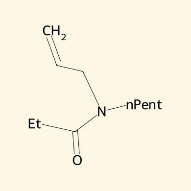 C=CCN(CCCCC)C(=O)CC